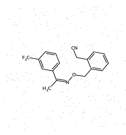 CC(=NOCc1ccccc1CC#N)c1cccc(C(F)(F)F)c1